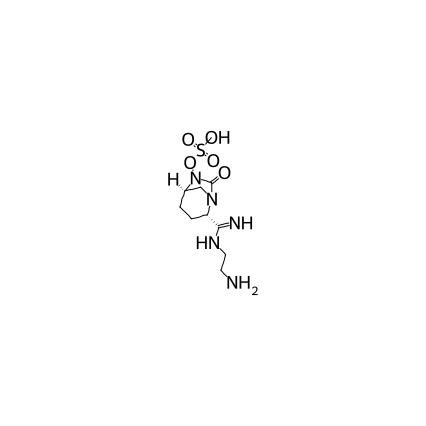 N=C(NCCN)[C@@H]1CC[C@@H]2CN1C(=O)N2OS(=O)(=O)O